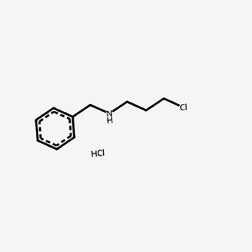 Cl.ClCCCNCc1ccccc1